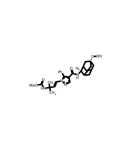 COC(=O)NC(C)(C)/C=C/n1ncc(C(=O)N[C@H]2C3CC4CC2C[C@](OO)(C4)C3)c1C(C)C